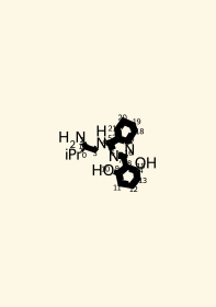 CC(C)[C@@H](N)CNc1nc(-c2c(O)cccc2O)nc2ccccc12